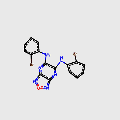 Brc1ccccc1Nc1nc2nonc2nc1Nc1ccccc1Br